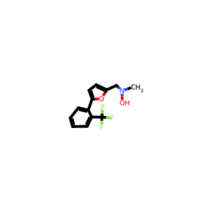 CN(O)Cc1ccc(-c2ccccc2C(F)(F)F)o1